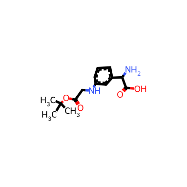 CC(C)(C)OC(=O)CNc1cccc(C(N)C(=O)O)c1